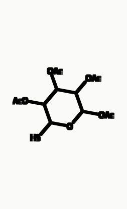 CC(=O)OC1OC(S)C(OC(C)=O)C(OC(C)=O)C1OC(C)=O